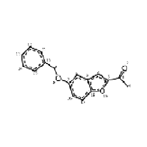 CC(=O)c1cc2cc(OCc3ccccc3)ccc2o1